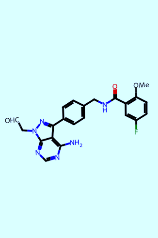 COc1ccc(F)cc1C(=O)NCc1ccc(-c2nn(CC=O)c3ncnc(N)c23)cc1